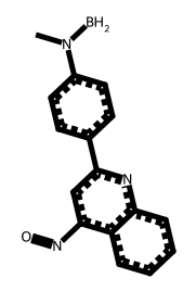 BN(C)c1ccc(-c2cc(N=O)c3ccccc3n2)cc1